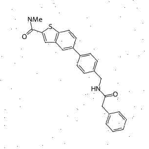 CNC(=O)c1cc2cc(-c3ccc(CNC(=O)Cc4ccccc4)cc3)ccc2s1